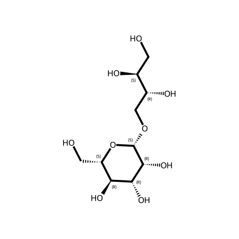 OC[C@@H]1O[C@H](OC[C@@H](O)[C@@H](O)CO)[C@H](O)[C@H](O)[C@H]1O